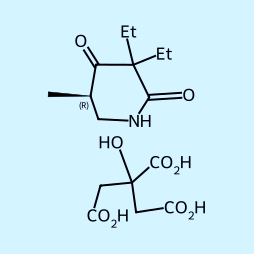 CCC1(CC)C(=O)NC[C@@H](C)C1=O.O=C(O)CC(O)(CC(=O)O)C(=O)O